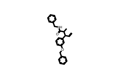 C=CC(c1cccc(OCc2ccccc2)c1)C(C)C(=O)NCc1ccccc1